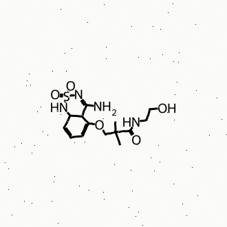 CC(C)(COC1=CC=CC2NS(=O)(=O)N=C(N)C12)C(=O)NCCO